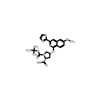 COc1ccc2c(O[C@@H]3C[C@@H](C(=O)O)N(C(=O)OC(C)(C)C)C3)nc(-c3nccs3)cc2c1